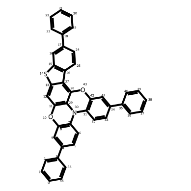 c1ccc(-c2ccc3c(c2)Oc2cc4sc5cc(-c6ccccc6)ccc5c4c4c2N3c2ccc(-c3ccccc3)cc2O4)cc1